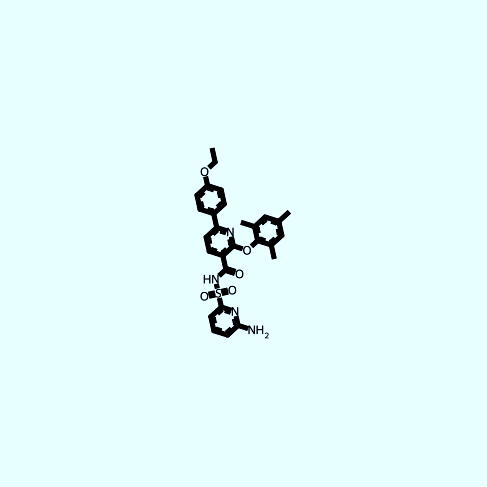 CCOc1ccc(-c2ccc(C(=O)NS(=O)(=O)c3cccc(N)n3)c(Oc3c(C)cc(C)cc3C)n2)cc1